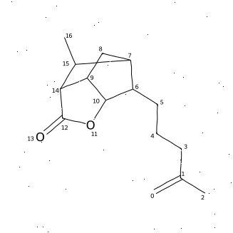 C=C(C)CCCC1C2CC3C1OC(=O)C3C2C